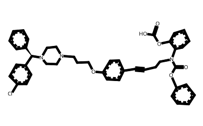 O=C(O)Oc1ccccc1N(CCC#Cc1ccc(OCCCN2CCN([C@H](c3ccccc3)c3ccc(Cl)cc3)CC2)cc1)C(=O)Oc1ccccc1